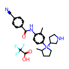 Cc1cc([N+]2(C3CCNC3)CCCC2C)ccc1NC(=O)c1ccc(C#N)cc1.O=C(O)C(F)(F)F